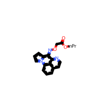 CCCOC(=O)CON=c1c2nccc3cccc(c32)n2cccc12